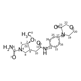 CO[C@@H]1CN(C(N)=O)C[C]1CC(=O)Nc1ccc(N2CCOCC2=O)cc1